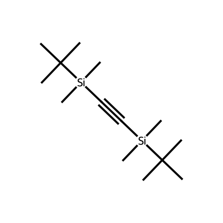 CC(C)(C)[Si](C)(C)C#C[Si](C)(C)C(C)(C)C